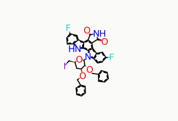 O=C1NC(=O)c2c1c1c3cc(F)ccc3[nH]c1c1c2c2cc(F)ccc2n1[C@@H]1O[C@H](CI)C[C@H](OCc2ccccc2)[C@H]1OCc1ccccc1